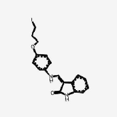 O=C1Nc2ccccc2C1=CNc1ccc(OCCCI)cc1